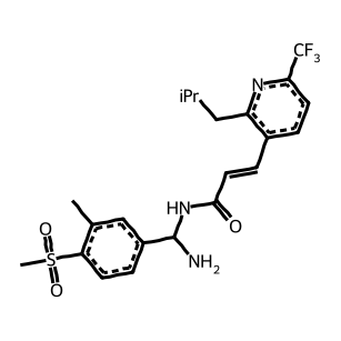 Cc1cc(C(N)NC(=O)C=Cc2ccc(C(F)(F)F)nc2CC(C)C)ccc1S(C)(=O)=O